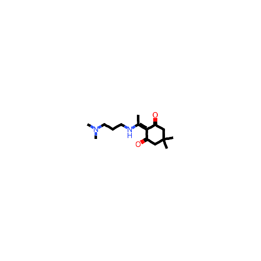 CC(NCCCN(C)C)=C1C(=O)CC(C)(C)CC1=O